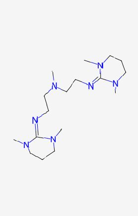 CN(CCN=C1N(C)CCCN1C)CCN=C1N(C)CCCN1C